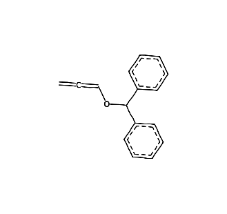 C=C=COC(c1ccccc1)c1ccccc1